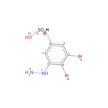 NNc1cc(Br)cc(Br)c1Br.O=S(=O)(O)O